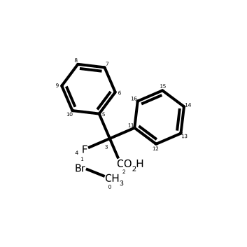 CBr.O=C(O)C(F)(c1ccccc1)c1ccccc1